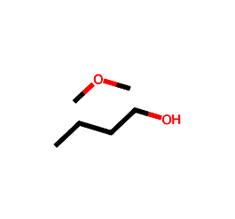 CCCCO.COC